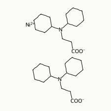 O=C([O-])CCN(C1CCCCC1)C1CCCCC1.O=C([O-])CCN(C1CCCCC1)C1CCCCC1.[Ni+2]